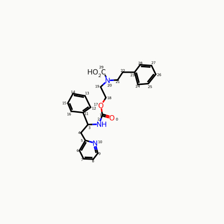 O=C(NC(Cc1ccccn1)c1ccccc1)OCCN(CCc1ccccc1)C(=O)O